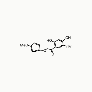 CCCc1cc(C(=O)COc2ccc(OC)cc2)c(O)cc1O